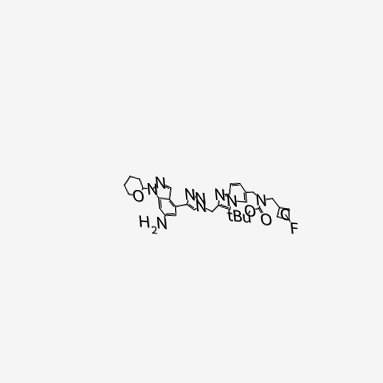 CC(C)(C)OC(=O)N(Cc1ccc2nc(Cn3cc(-c4cc(N)cc5c4cnn5C4CCCCO4)nn3)cn2c1)CC12CC(F)(C1)C2